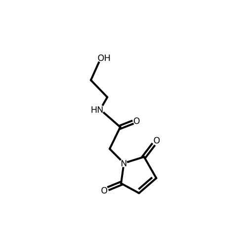 O=C(CN1C(=O)C=CC1=O)NCCO